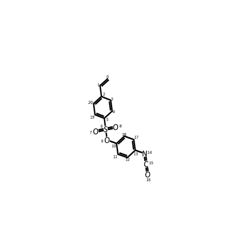 C=Cc1ccc(S(=O)(=O)Oc2ccc(N=C=O)cc2)cc1